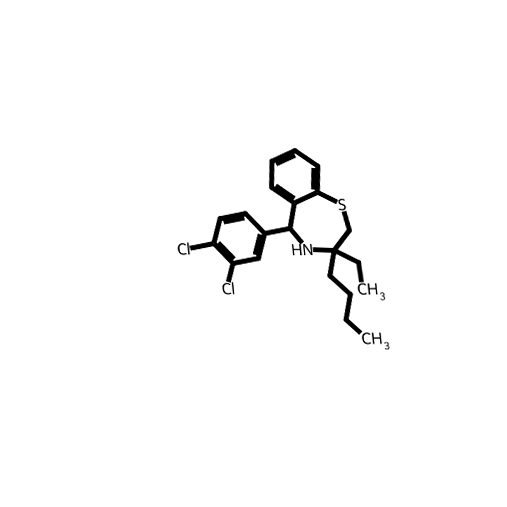 CCCCC1(CC)CSc2ccccc2C(c2ccc(Cl)c(Cl)c2)N1